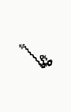 CCCCCCCCCCCCC[n+]1ccn(-c2ccccc2)c1CCC